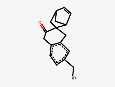 CC(C)Cc1ccc2c(c1)CC1(CC3C=CC1C3)C(=O)C2